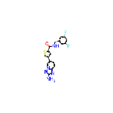 Nc1nc2ccc(-c3csc(C(=O)NCc4cc(F)cc(F)c4)c3)cn2n1